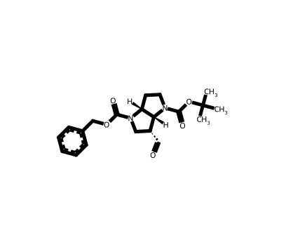 CC(C)(C)OC(=O)N1CC[C@@H]2[C@H]1[C@H](C=O)CN2C(=O)OCc1ccccc1